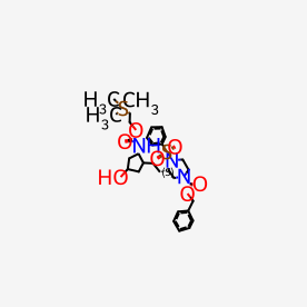 CS(C)(C)CCOC(=O)NC1CC(O)CC1CC[C@H]1CN(C(=O)OCc2ccccc2)CCN1S(=O)(=O)c1ccccc1